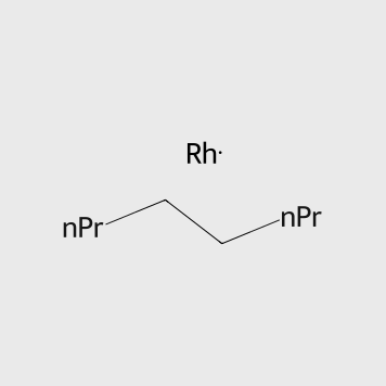 CCCCCCCC.[Rh]